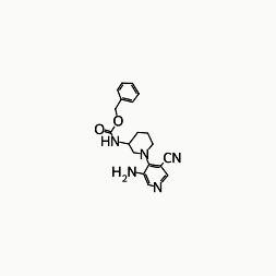 N#Cc1cncc(N)c1N1CCCC(NC(=O)OCc2ccccc2)C1